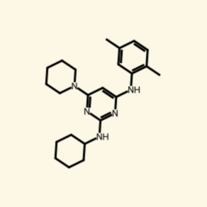 Cc1ccc(C)c(Nc2cc(N3CCCCC3)nc(NC3CCCCC3)n2)c1